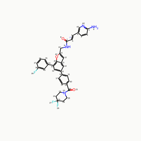 Nc1ccc(/C=C/C(=O)NCc2cc3cc(-c4ccc(C(=O)N5CCC(F)(F)CC5)cc4)cc(-c4cccc(F)c4)c3o2)cn1